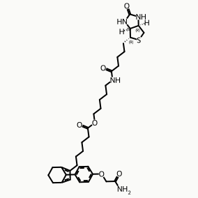 NC(=O)COc1ccc(C2C3=CC(CCCCCC(=O)OCCCCCNC(=O)CCCC[C@H]4SC[C@@H]5NC(=O)N[C@@H]54)=C2CCC3)cc1